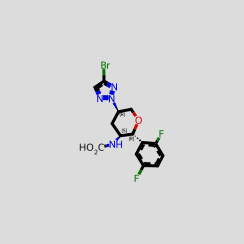 O=C(O)N[C@H]1C[C@@H](n2ncc(Br)n2)CO[C@@H]1c1cc(F)ccc1F